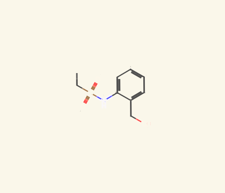 CCCCCCCCCS(=O)(=O)Nc1ccccc1CO